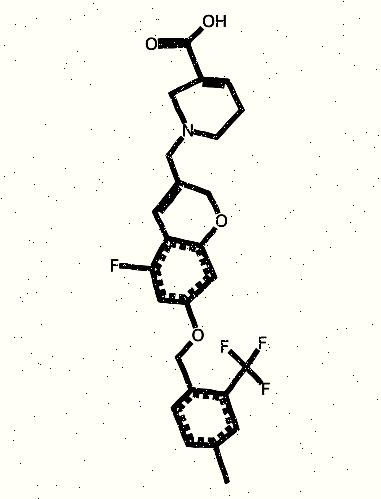 Cc1ccc(COc2cc(F)c3c(c2)OCC(CN2CCC=C(C(=O)O)C2)=C3)c(C(F)(F)F)c1